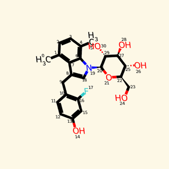 Cc1ccc(C)c2c1c(Cc1ccc(O)cc1F)cn2[C@@H]1O[C@H](CO)[C@@H](O)[C@H](O)[C@H]1O